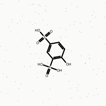 O=P(O)(O)c1cc(S(=O)(=O)O)ccc1O